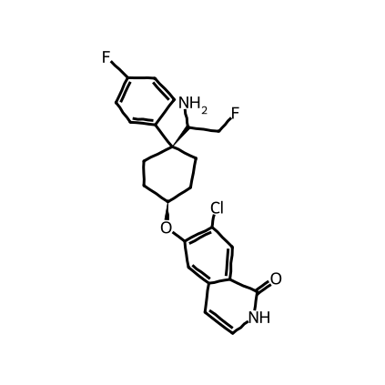 NC(CF)[C@]1(c2ccc(F)cc2)CC[C@H](Oc2cc3cc[nH]c(=O)c3cc2Cl)CC1